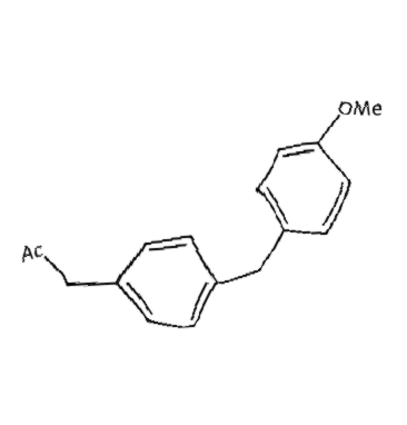 COc1ccc(Cc2ccc(CC(C)=O)cc2)cc1